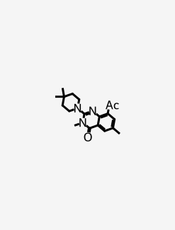 CC(=O)c1cc(C)cc2c(=O)n(C)c(N3CCC(C)(C)CC3)nc12